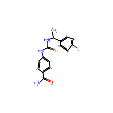 CC(NC(=S)Nc1ccc(C(N)=O)cc1)c1ccc(F)cc1